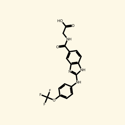 O=C(O)CNC(=O)c1ccc2[nH]c(Nc3ccc(OC(F)(F)F)cc3)nc2c1